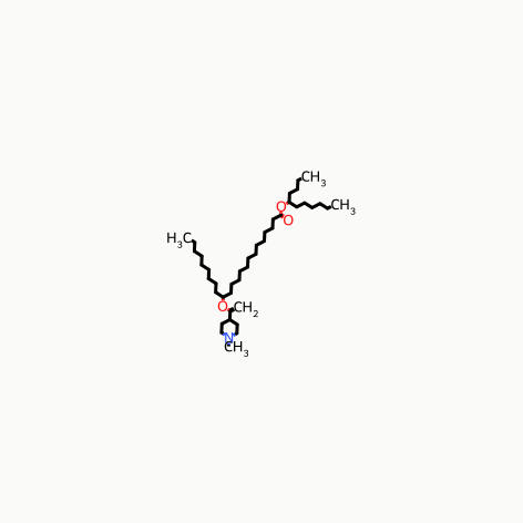 C=C(OC(CCCCCCCCC)CCCCCCCCCCCCC(=O)OC(CCCC)CCCCCC)C1CCN(C)CC1